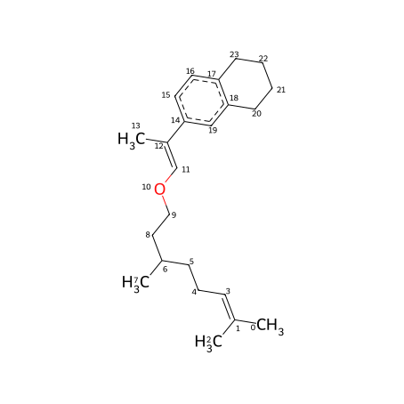 CC(C)=CCCC(C)CCOC=C(C)c1ccc2c(c1)CCCC2